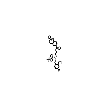 CN1C(=O)CCc2cc(C(=O)CCCCN(CCc3ccc(F)cc3Cl)C(=O)OC(C)(C)C)ccc21